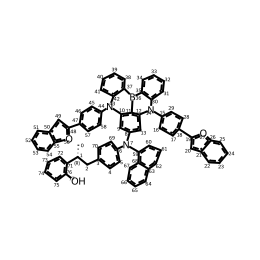 C[C@H](Cc1ccc(N(c2cc3c4c(c2)N(c2ccc(-c5cc6ccccc6o5)cc2)c2ccccc2B4c2ccccc2N3c2ccc(-c3cc4ccccc4o3)cc2)c2cccc3ccccc23)cc1)c1ccccc1O